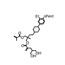 C=C(C)C(=O)OCC(C)(CCC1CCC(c2ccc(CCCCC)c(CC)c2)CC1)COC(=O)C(=C)CC(CO)CO